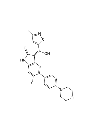 Cc1cc(/C(O)=C2\C(=O)Nc3cc(Cl)c(-c4ccc(N5CCOCC5)cc4)cc32)sn1